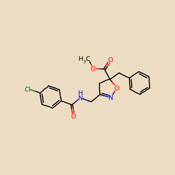 COC(=O)C1(Cc2ccccc2)CC(CNC(=O)c2ccc(Cl)cc2)=NO1